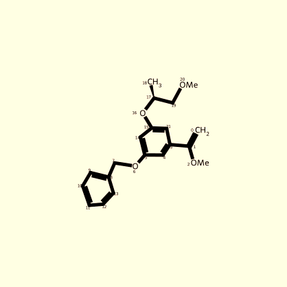 C=C(OC)c1cc(OCc2ccccc2)cc(O[C@@H](C)COC)c1